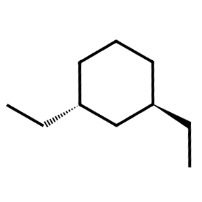 CC[C@@H]1CCC[C@@H](CC)C1